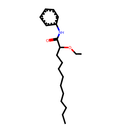 CCCCCCCCCCC(OCC)C(=O)Nc1ccccc1